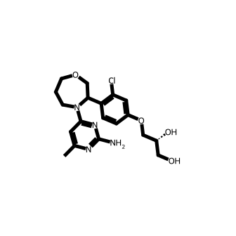 Cc1cc(N2CCCOCC2c2ccc(OC[C@H](O)CO)cc2Cl)nc(N)n1